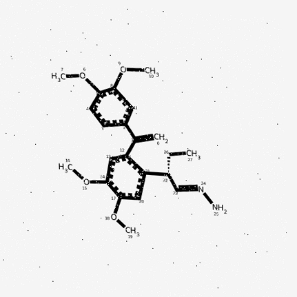 C=C(c1ccc(OC)c(OC)c1)c1cc(OC)c(OC)cc1[C@@H](/C=N/N)CC